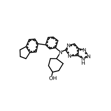 OC1CCC(N(c2cccc(-c3ccc4c(c3)CCC4)c2)c2ncc3nn[nH]c3n2)CC1